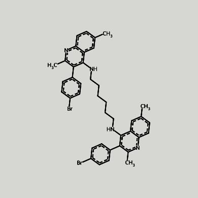 Cc1ccc2nc(C)c(-c3ccc(Br)cc3)c(NCCCCCCNc3c(-c4ccc(Br)cc4)c(C)nc4ccc(C)cc34)c2c1